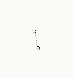 CC(C)(C)OC(=O)NCCCCCCOc1ccc(C=O)cc1F